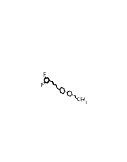 CCC[C@H]1CC[C@H](C2CCC(CCC=Cc3cc(F)cc(F)c3)CC2)CC1